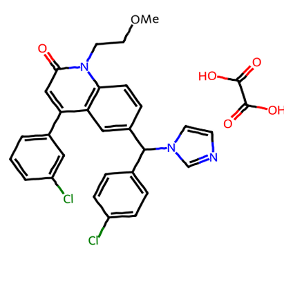 COCCn1c(=O)cc(-c2cccc(Cl)c2)c2cc(C(c3ccc(Cl)cc3)n3ccnc3)ccc21.O=C(O)C(=O)O